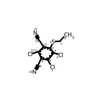 CCSc1c(Cl)c(Cl)c(C#N)c(Cl)c1C#N